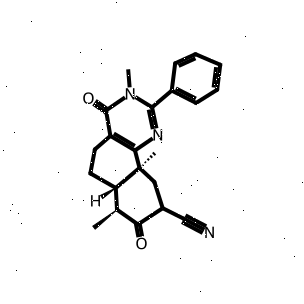 C[C@@H]1C(=O)C(C#N)C[C@]2(C)c3nc(-c4ccccc4)n(C)c(=O)c3CC[C@@H]12